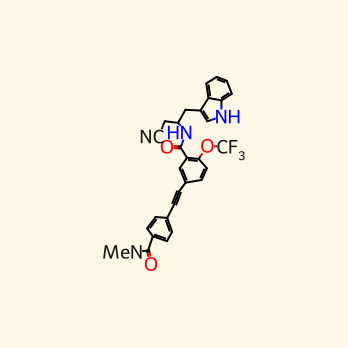 CNC(=O)c1ccc(C#Cc2ccc(OC(F)(F)F)c(C(=O)NC(CC#N)Cc3c[nH]c4ccccc34)c2)cc1